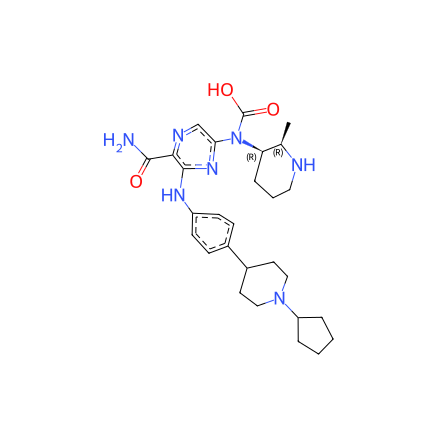 C[C@H]1NCCC[C@H]1N(C(=O)O)c1cnc(C(N)=O)c(Nc2ccc(C3CCN(C4CCCC4)CC3)cc2)n1